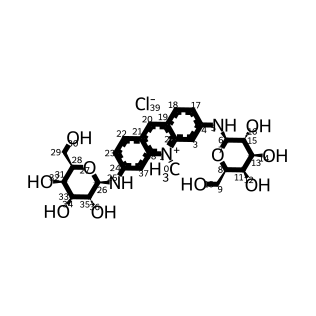 C[n+]1c2cc(N[C@@H]3O[C@H](CO)[C@H](O)[C@H](O)[C@H]3O)ccc2cc2ccc(N[C@@H]3O[C@H](CO)[C@H](O)[C@H](O)[C@H]3O)cc21.[Cl-]